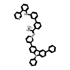 CN/C(=N\N1C=CC=C(c2ccc3c(c2)c2cc(-c4ccccc4)ccc2n3-c2ccccc2)C1)c1cccc(-c2cccc(Nc3ccccc3-c3cccnc3)c2)c1